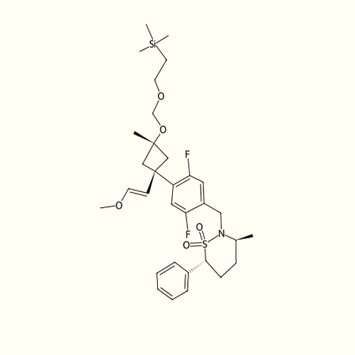 COC=C[C@]1(c2cc(F)c(CN3[C@@H](C)CC[C@H](c4ccccc4)S3(=O)=O)cc2F)C[C@@](C)(OCOCC[Si](C)(C)C)C1